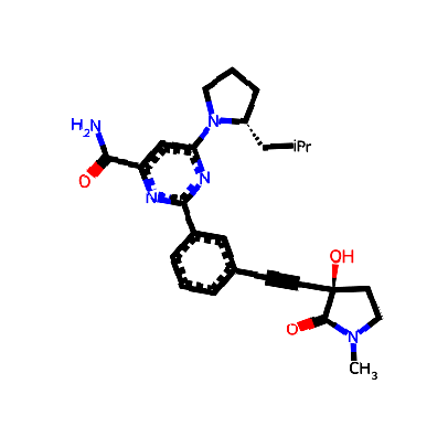 CC(C)C[C@H]1CCCN1c1cc(C(N)=O)nc(-c2cccc(C#C[C@]3(O)CCN(C)C3=O)c2)n1